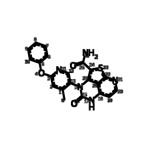 Cc1cc(Oc2ccccc2)ncc1N1C(=O)Nc2ccnc3sc(C(N)=O)c1c23